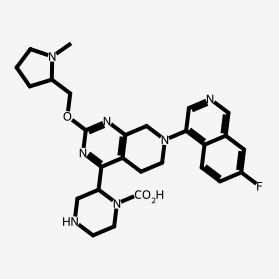 CN1CCCC1COc1nc2c(c(C3CNCCN3C(=O)O)n1)CCN(c1cncc3cc(F)ccc13)C2